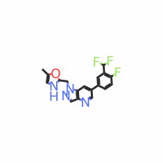 CC1=CNC(Cn2ncc3ncc(-c4ccc(F)c(C(F)F)c4)cc32)O1